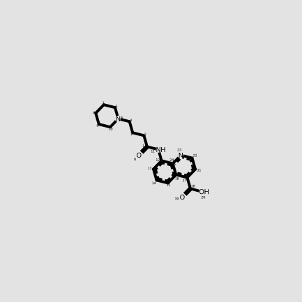 O=C(CCCN1CCCCC1)Nc1cccc2c(C(=O)O)ccnc12